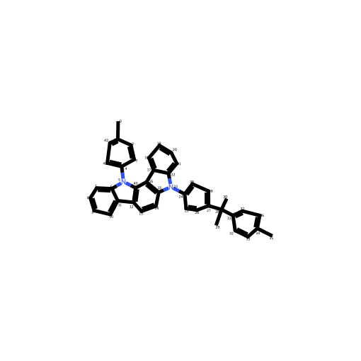 Cc1ccc(-n2c3ccccc3c3ccc4c(c5ccccc5n4-c4ccc(C(C)(C)c5ccc(C)cc5)cc4)c32)cc1